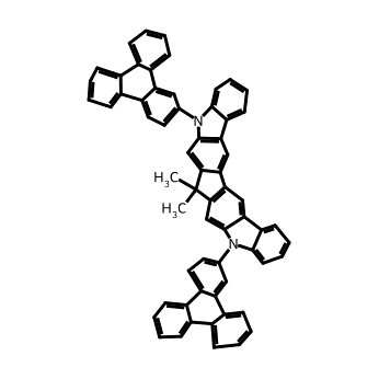 CC1(C)c2cc3c(cc2-c2cc4c5ccccc5n(-c5ccc6c7ccccc7c7ccccc7c6c5)c4cc21)c1ccccc1n3-c1ccc2c3ccccc3c3ccccc3c2c1